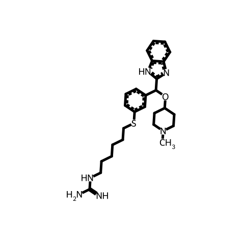 CN1CCC(OC(c2cccc(SCCCCCCNC(=N)N)c2)c2nc3ccccc3[nH]2)CC1